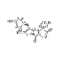 CCOC(=O)O[C@]1(I)C(=O)OCc2c1cc1n(c2=O)Cc2c-1nc1ccc(O)cc1c2CC